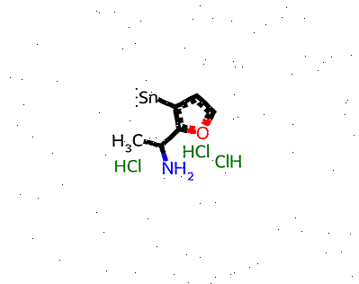 CC(N)c1occ[c]1[Sn].Cl.Cl.Cl